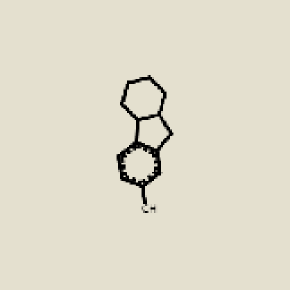 Oc1ccc2c(c1)CC1CCCCC21